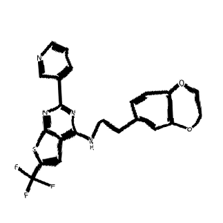 FC(F)(F)c1cc2c(NCCc3ccc4c(c3)OCCO4)nc(-c3cccnc3)nc2s1